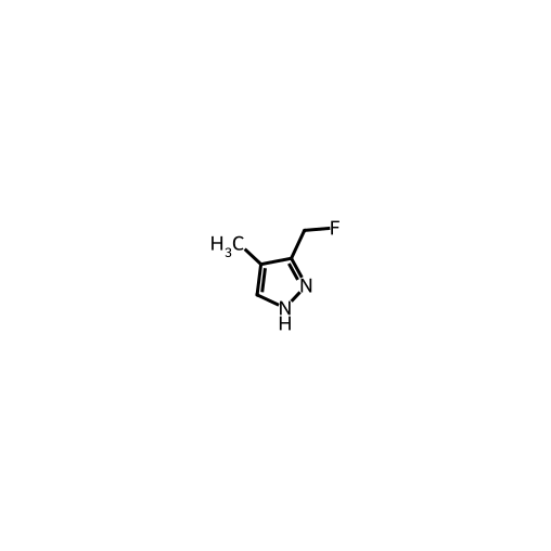 Cc1c[nH]nc1CF